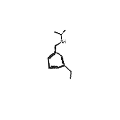 CCc1cccc(CNC(C)C)c1